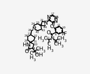 CC(C)N(C(=O)c1cc(F)ccc1Oc1nncnc1N1CC2(CCN(CC3CCC4(CC3)CC(C(C)(C)O)C(=O)N4)CC2)C1)C(C)C